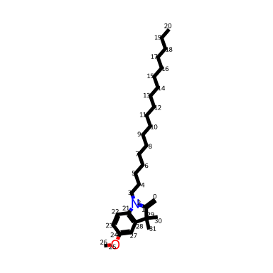 C=C1N(CCCCCCCCCCCCCCCCCC)c2ccc(OC)cc2C1(C)C